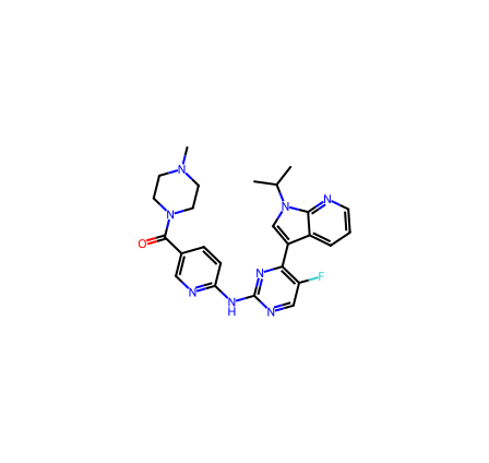 CC(C)n1cc(-c2nc(Nc3ccc(C(=O)N4CCN(C)CC4)cn3)ncc2F)c2cccnc21